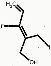 C=C/C(F)=C(/CO)CI